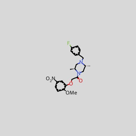 COc1ccc([N+](=O)[O-])cc1OCC(=O)N1C[C@@H](C)N(Cc2ccc(F)cc2)C[C@@H]1C